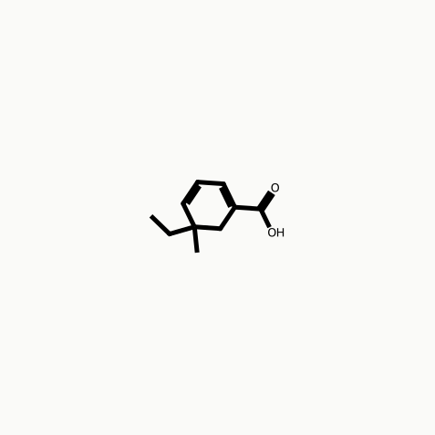 CCC1(C)C=CC=C(C(=O)O)C1